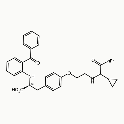 CCCC(=O)C(NCCOc1ccc(C[C@H](Nc2ccccc2C(=O)c2ccccc2)C(=O)O)cc1)C1CC1